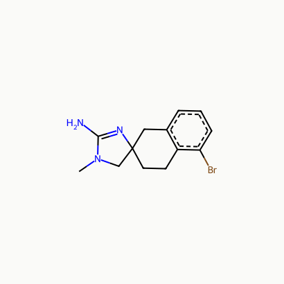 CN1CC2(CCc3c(Br)cccc3C2)N=C1N